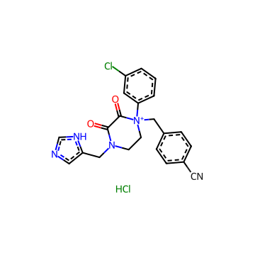 Cl.N#Cc1ccc(C[N+]2(c3cccc(Cl)c3)CCN(Cc3cnc[nH]3)C(=O)C2=O)cc1